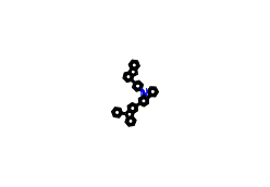 c1ccc(C2c3ccccc3-c3cc(-c4ccc5c6ccccc6n(-c6ccc(-c7cccc8c7Cc7ccccc7-8)cc6)c5c4)ccc32)cc1